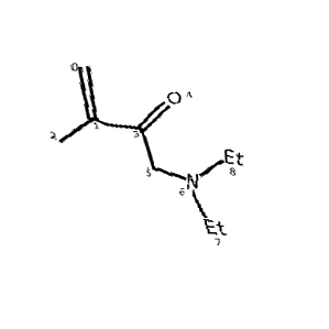 C=C(C)C(=O)[CH]N(CC)CC